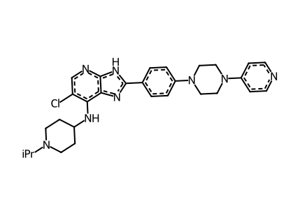 CC(C)N1CCC(Nc2c(Cl)cnc3[nH]c(-c4ccc(N5CCN(c6ccncc6)CC5)cc4)nc23)CC1